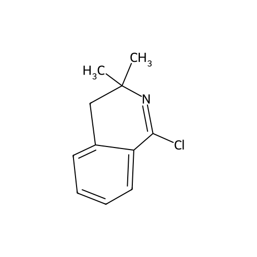 CC1(C)Cc2ccccc2C(Cl)=N1